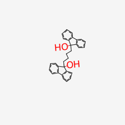 OC1(CCCCC2(O)c3ccccc3-c3ccccc32)c2ccccc2-c2ccccc21